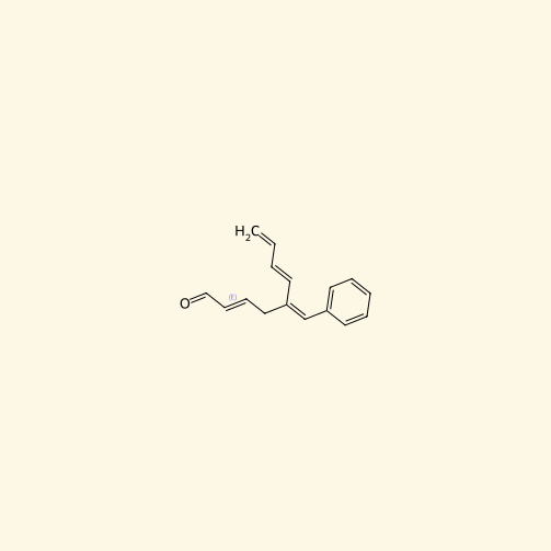 C=CC=CC(=Cc1ccccc1)C/C=C/C=O